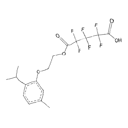 Cc1ccc(C(C)C)c(OCCOC(=O)C(F)(F)C(F)(F)C(F)(F)C(=O)O)c1